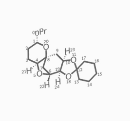 CCC[C@H]1CC[C@@H]2O[C@@H]3C[C@]2(C[C@H]2OC4(CCCCC4)O[C@@H]32)O1